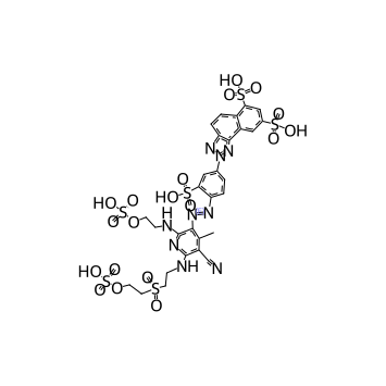 Cc1c(C#N)c(NCCS(=O)(=O)CCOS(=O)(=O)O)nc(NCCOS(=O)(=O)O)c1/N=N/c1ccc(-n2nc3ccc4c(S(=O)(=O)O)cc(S(=O)(=O)O)cc4c3n2)cc1S(=O)(=O)O